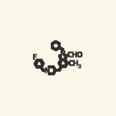 Cc1cc(CC2CCN(Cc3ccc(F)cc3)CC2)cc2c1C(C=O)N(CC1CCCCC1)C2